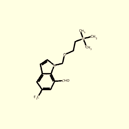 C[Si](C)(C)CCOCn1ccc2cc(C(F)(F)F)cc(C=O)c21